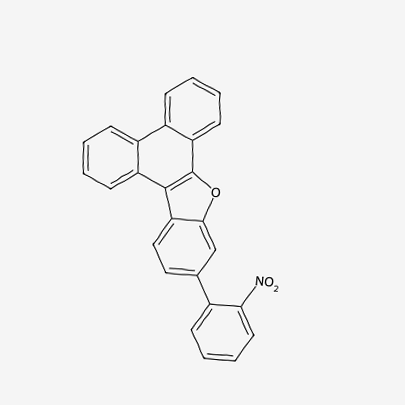 O=[N+]([O-])c1ccccc1-c1ccc2c(c1)oc1c3ccccc3c3ccccc3c21